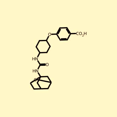 O=C(NC1CCC(Oc2ccc(C(=O)O)cc2)CC1)NC12CC3CC(CC(C3)O1)C2